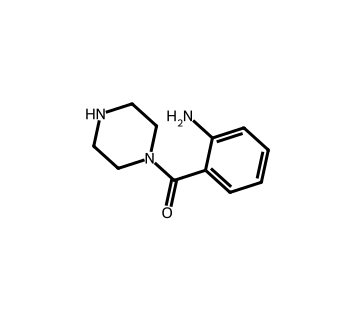 Nc1ccccc1C(=O)N1CCNCC1